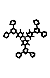 Cc1c(C)c(-c2cc(-c3ccccc3)cc(-c3ccccc3)c2)c(C)c(C)c1B(c1c(C)c(C)c(-c2cc(-c3ccccc3)cc(-c3ccccc3)c2)c(C)c1C)c1c(C)c(C)c(-c2cc(-c3ccccc3)cc(-c3ccccc3)c2)c(C)c1C